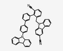 N#Cc1ccc2c(c1)c1ccccc1n2Cc1cccc(C#N)c1-c1cccc(-c2ccc(N3c4ccccc4C4C=CC=CC43)cc2)c1